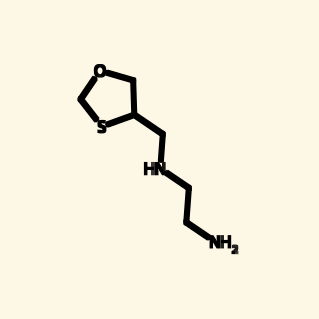 NCCNCC1COCS1